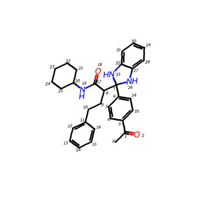 CC(=O)c1ccc(C2(C(CCc3ccccc3)C(=O)NC3CCCCC3)Nc3ccccc3N2)cc1